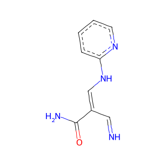 N=C/C(=C\Nc1ccccn1)C(N)=O